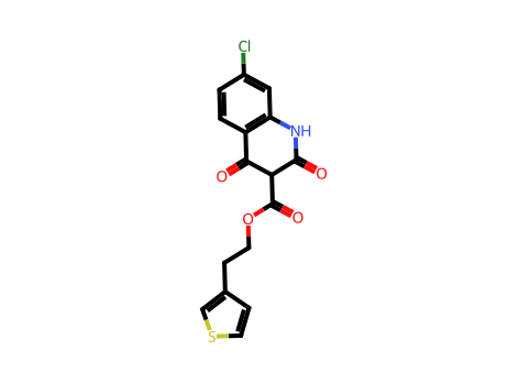 O=C1Nc2cc(Cl)ccc2C(=O)C1C(=O)OCCc1ccsc1